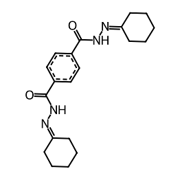 O=C(NN=C1CCCCC1)c1ccc(C(=O)NN=C2CCCCC2)cc1